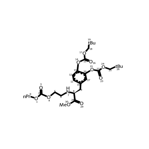 CCCOC(=O)OCCN[C@@H](Cc1ccc(OC(=O)OCC(C)(C)C)c(OC(=O)OCC(C)(C)C)c1)C(=O)OC